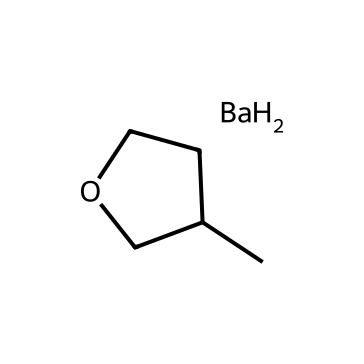 CC1CCOC1.[BaH2]